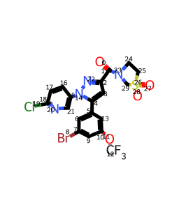 O=C(c1cc(-c2cc(Br)cc(OC(F)(F)F)c2)n(-c2ccc(Cl)nc2)n1)N1CCS(=O)(=O)C1